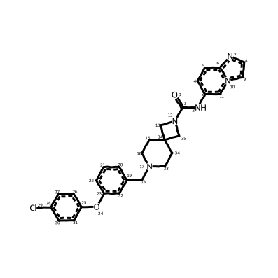 O=C(Nc1ccc2nccn2c1)N1CC2(CCN(Cc3cccc(Oc4ccc(Cl)cc4)c3)CC2)C1